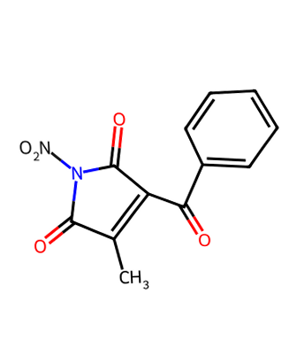 CC1=C(C(=O)c2ccccc2)C(=O)N([N+](=O)[O-])C1=O